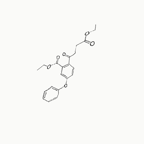 CCOC(=O)CCC(=O)c1ccc(Oc2ccccc2)cc1C(=O)OCC